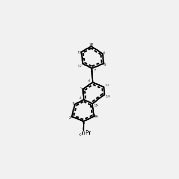 CCCc1ccc2cc(-c3ccccc3)ccc2c1